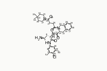 Cc1cc(NC(=O)[C@H](CCN)NC(=O)[C@@H]2Cc3ccccc3CN2C(=O)CCC(=O)N2CCC(C)(C)CC2)cc(C)c1Cl